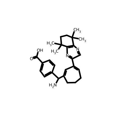 CC1(C)CCC(C)(C)c2nc(C3=CCCCC(C(N)c4ccc(C(=O)O)cc4)=C3)cnc21